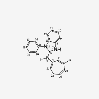 CC1=CC(N(C)C2Nc3ccccc3N2c2ccccc2)=CCC=C1